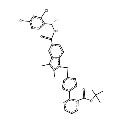 Cc1c(C)n(Cc2ccc(-c3ccccc3C(=O)OC(C)(C)C)cc2)c2ccc(C(=O)N[C@@H](C)c3ccc(Cl)cc3Cl)cc12